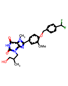 COc1cc(-c2nc3c(c(=O)[nH]c(=O)n3CC(C)CO)n2C)ccc1OCc1ccc(C(F)F)cc1